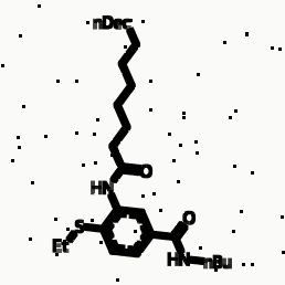 CCCCCCCCCCCCCCCCC(=O)Nc1cc(C(=O)NCCCC)ccc1SCC